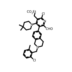 CCOC(=O)Cc1c(Cl)nc(C=O)c(-c2ccc3c(c2)CCN(Cc2c(C)cccc2Cl)C3)c1N1CCC(C)(C)CC1